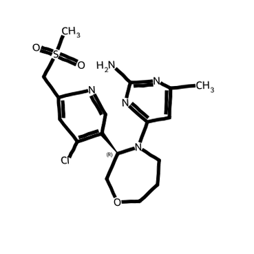 Cc1cc(N2CCCOC[C@H]2c2cnc(CS(C)(=O)=O)cc2Cl)nc(N)n1